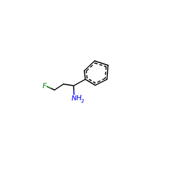 NC(CCF)c1ccccc1